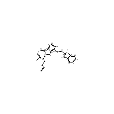 C=CCCC(C(C)=O)N1Cc2c(OCc3nc4ccccc4s3)cccc2C1=C